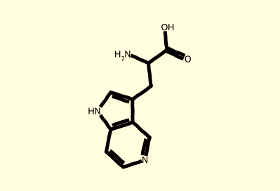 NC(Cc1c[nH]c2ccncc12)C(=O)O